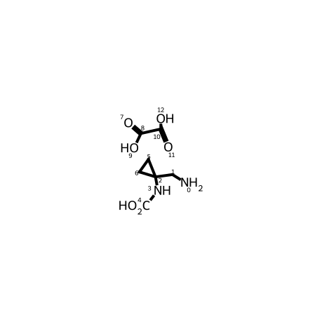 NCC1(NC(=O)O)CC1.O=C(O)C(=O)O